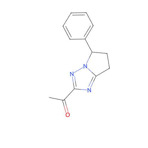 CC(=O)c1nc2n(n1)C(c1ccccc1)CC2